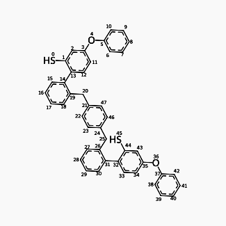 Sc1cc(Oc2ccccc2)ccc1-c1ccccc1Cc1ccc(Cc2ccccc2-c2ccc(Oc3ccccc3)cc2S)cc1